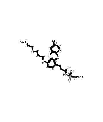 CCCCCS(=O)(=O)NC(=O)CCc1ccc(OCCCOCCOC)cc1Oc1ncc(C(F)(F)F)cc1Cl